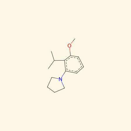 COc1cccc(N2CCCC2)c1C(C)C